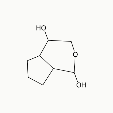 OC1COC(O)C2CCCC12